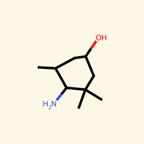 CC1CC(O)CC(C)(C)C1N